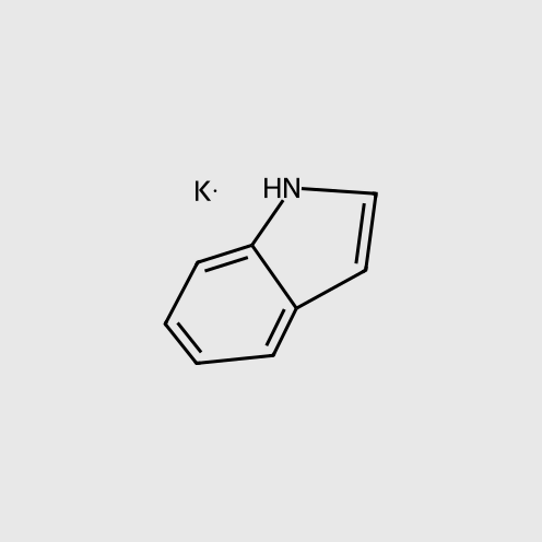 [K].c1ccc2[nH]ccc2c1